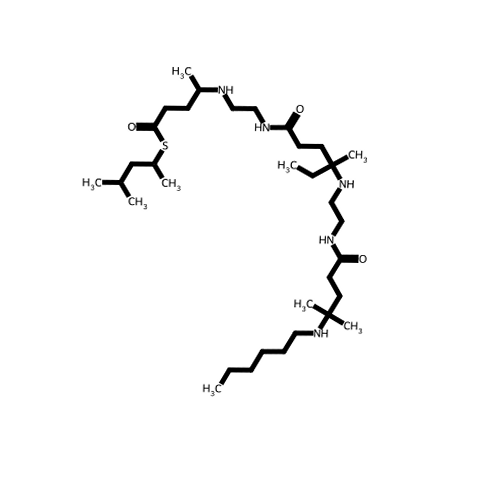 CCCCCCNC(C)(C)CCC(=O)NCCNC(C)(CC)CCC(=O)NCCNC(C)CCC(=O)SC(C)CC(C)C